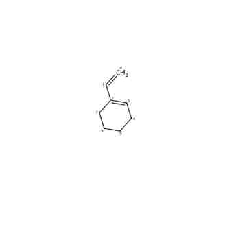 C=[C]C1=CCCCC1